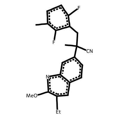 CCc1cc2ccc(C(C)(C#N)Cc3c(F)ccc(C)c3F)cc2nc1OC